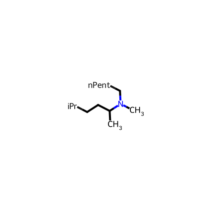 CCCCCCN(C)C(C)CCC(C)C